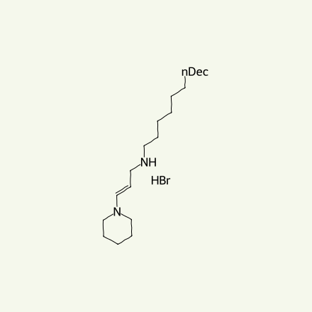 Br.CCCCCCCCCCCCCCCCNCC=CN1CCCCC1